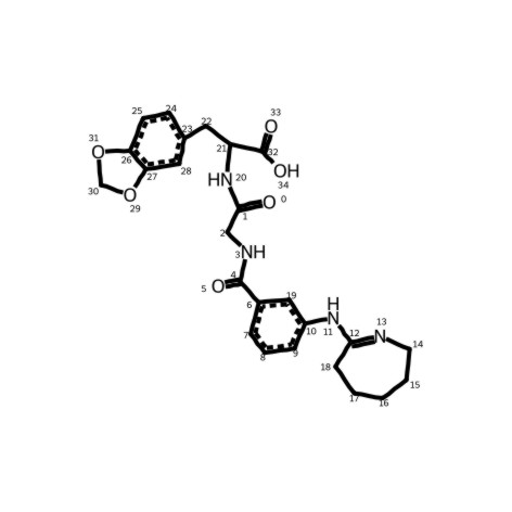 O=C(CNC(=O)c1cccc(NC2=NCCCCC2)c1)NC(Cc1ccc2c(c1)OCO2)C(=O)O